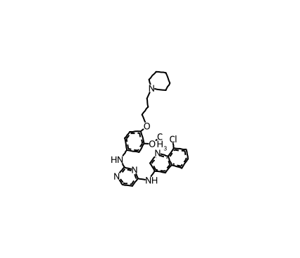 COc1cc(Nc2nccc(Nc3cnc4c(Cl)cccc4c3)n2)ccc1OCCCN1CCCCC1